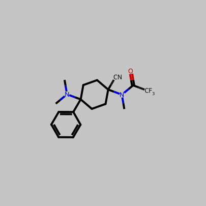 CN(C(=O)C(F)(F)F)C1(C#N)CCC(c2ccccc2)(N(C)C)CC1